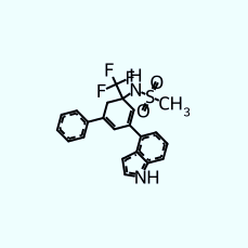 CS(=O)(=O)NC1(C(F)(F)F)C=C(c2cccc3[nH]ccc23)C=C(c2ccccc2)C1